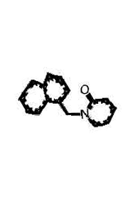 O=c1ccccn1Cc1cccc2ccccc12